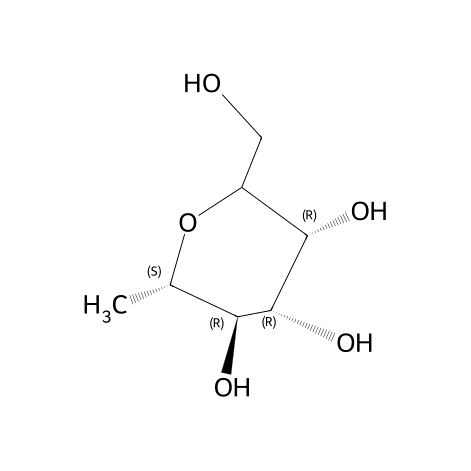 C[C@@H]1OC(CO)[C@H](O)[C@H](O)[C@H]1O